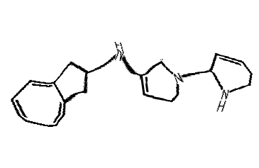 [C]1C(NC2Cc3ccccc3C2)=CCN1C1C=CCN1